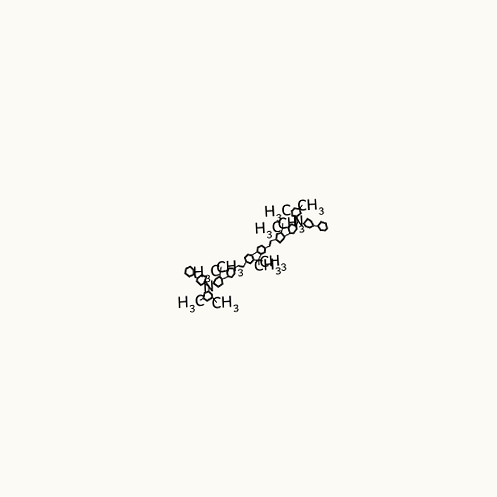 Cc1cc(C)cc(N(c2ccc(-c3ccccc3)cc2)c2ccc3c(c2)C(C)(C)c2cc(/C=C/c4ccc5c(c4)C(C)(C)c4cc(/C=C/c6ccc7c(c6)C(C)(C)c6cc(N(c8ccc(-c9ccccc9)cc8)c8cc(C)cc(C)c8)ccc6-7)ccc4-5)ccc2-3)c1